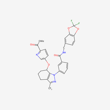 COC(=O)c1ccc(OC2CCCc3c(C(F)(F)F)nn(-c4cccc(C(=O)NCc5ccc6c(c5)OC(F)(F)O6)c4)c32)cn1